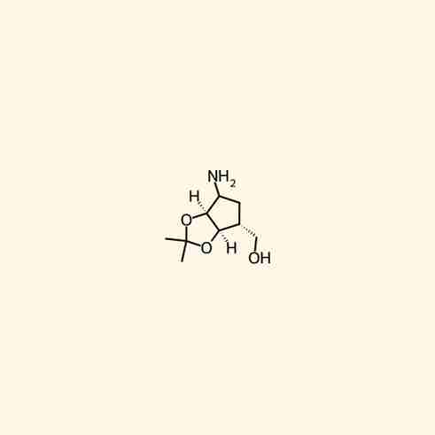 CC1(C)O[C@@H]2[C@@H](CO)CC(N)[C@@H]2O1